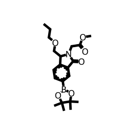 CCCOCC1c2ccc(B3OC(C)(C)C(C)(C)O3)cc2C(=O)N1CC(=O)OC